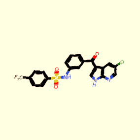 O=C(c1cccc(NS(=O)(=O)c2ccc(C(F)(F)F)cc2)c1)c1c[nH]c2ncc(Cl)cc12